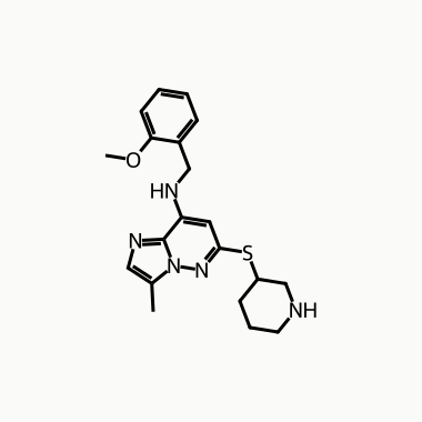 COc1ccccc1CNc1cc(SC2CCCNC2)nn2c(C)cnc12